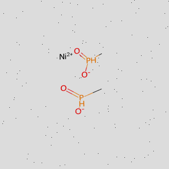 C[PH](=O)[O-].C[PH](=O)[O-].[Ni+2]